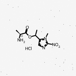 CC(OC(=O)[C@H](C)N)c1cnc([N+](=O)[O-])n1C.Cl